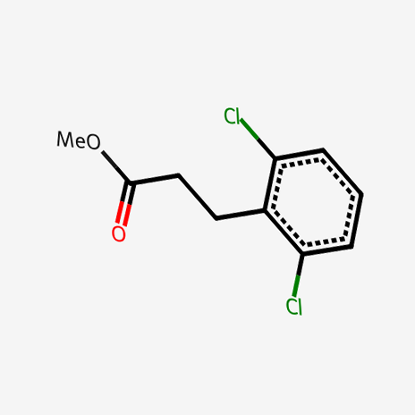 COC(=O)CCc1c(Cl)cccc1Cl